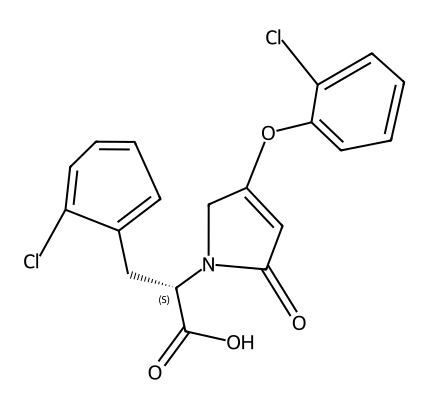 O=C(O)[C@H](Cc1ccccc1Cl)N1CC(Oc2ccccc2Cl)=CC1=O